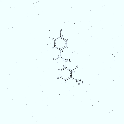 Cc1ccc(C(C)Nc2cccc(N)c2C)cc1